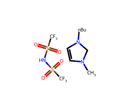 CCCCN1C=CN(C)C1.O=S(=O)(NS(=O)(=O)C(F)(F)F)C(F)(F)F